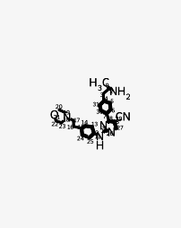 CC(N)Cc1ccc(-c2nc(Nc3ccc(CCN4CCOCC4)cc3)ncc2C#N)cc1